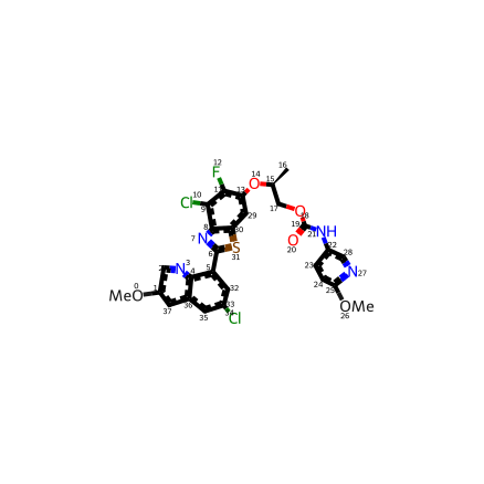 COc1cnc2c(-c3nc4c(Cl)c(F)c(O[C@@H](C)COC(=O)Nc5ccc(OC)nc5)cc4s3)cc(Cl)cc2c1